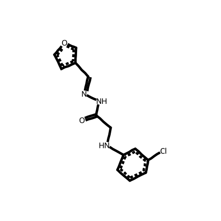 O=C(CNc1cccc(Cl)c1)N/N=C/c1ccoc1